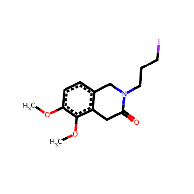 COc1ccc2c(c1OC)CC(=O)N(CCCI)C2